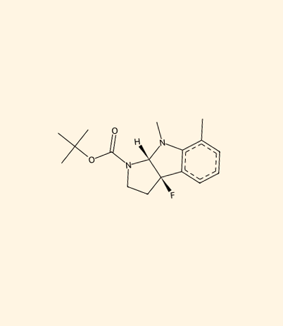 Cc1cccc2c1N(C)[C@H]1N(C(=O)OC(C)(C)C)CC[C@@]21F